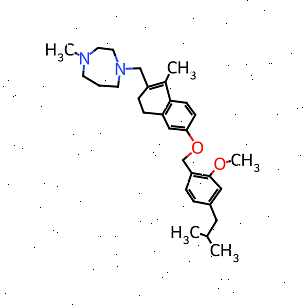 COc1cc(CC(C)C)ccc1COc1ccc2c(c1)CCC(CN1CCCN(C)CC1)=C2C